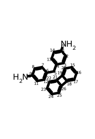 Nc1ccc(Cc2ccc(N)cc2)cc1.c1ccc2c(c1)-c1ccccc1-2